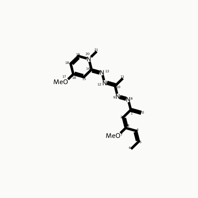 C=C(/C=C(\C=C/C)OC)/N=N/C(C)=N/N=c1\cc(OC)ccn1C